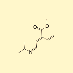 C=C/C(=C\C=N/C(C)C)C(=O)OC